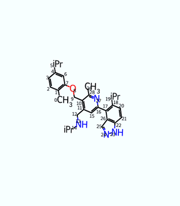 Cc1ccc(C(C)C)cc1OCc1c(CNC(C)C)cc(-c2c(C(C)C)ccc3[nH]ncc23)nc1C